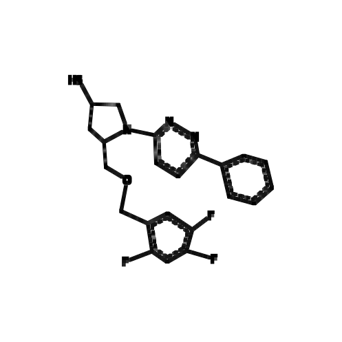 Fc1cc(F)c(COCC2CC(S)CN2c2ccc(-c3ccccc3)nn2)cc1F